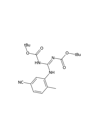 Cc1ccc(C#N)cc1N/C(=N\C(=O)OC(C)(C)C)NC(=O)OC(C)(C)C